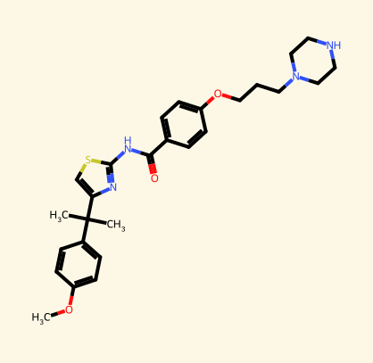 COc1ccc(C(C)(C)c2csc(NC(=O)c3ccc(OCCCN4CCNCC4)cc3)n2)cc1